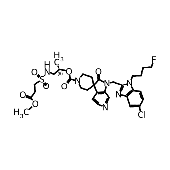 COC(=O)CCS(=O)(=O)NC[C@@H](C)OC(=O)N1CCC2(CC1)C(=O)N(Cc1nc3cc(Cl)ccc3n1CCCCF)c1cnccc12